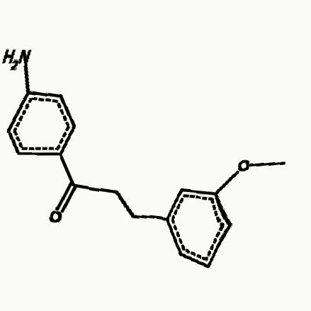 COc1cccc(CCC(=O)c2ccc(N)cc2)c1